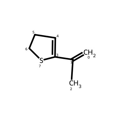 C=C(C)C1=CCCS1